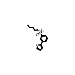 CCCCNS(=O)(=O)c1cccc(-c2ccco2)c1